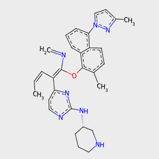 C=N/C(Oc1c(C)ccc2c(-n3ccc(C)n3)cccc12)=C(\C=C/C)c1ccnc(N[C@H]2CCCNC2)n1